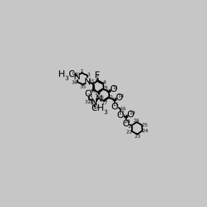 CN1CCN(c2c(F)cc3c(=O)c(C(=O)OCOC(=O)OC4CCCCC4)cn4c3c2OCN4C)CC1